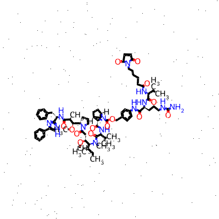 CC[C@H](C)[C@@H]([C@@H](CC(=O)N1CCC[C@H]1[C@H](OC)[C@@H](C)C(=O)N[C@@H](Cc1ccccc1)c1nc(-c2ccccc2)c[nH]1)OC)N(C)C(=O)[C@@H](NC(=O)[C@@H]1[C@H]2CC[C@H](C2)N1C(=O)OCc1ccc(NC(=O)[C@H](CCCNC(N)=O)NC(=O)[C@@H](NC(=O)CCCCCN2C(=O)C=CC2=O)C(C)C)cc1)C(C)C